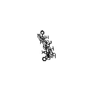 CCCCC(NC(=O)[C@@H]1C2C(CN1C(=O)[C@@H](NS(=O)(=O)Cc1ccccc1)C(C)(C)C)C2(C)C)C(=O)C(=O)NCC(=O)N[C@H](C(=O)N(C)C)c1ccccc1